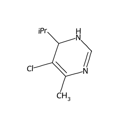 CC1=C(Cl)C(C(C)C)NC=N1